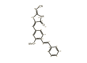 COc1cc(/C=C2/S/C(=N/C#N)NC2=O)ccc1/C=C/c1ccccc1